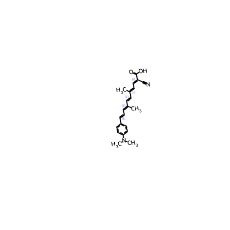 CC(/C=C/C(C)=C/C=C(\C#N)C(=O)O)=C\C=C\c1ccc(N(C)C)cc1